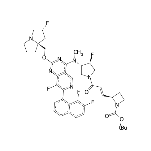 CN(c1nc(OC[C@@]23CCCN2C[C@H](F)C3)nc2c(F)c(-c3cccc4ccc(F)c(F)c34)ncc12)[C@H]1CN(C(=O)/C=C/[C@H]2CCN2C(=O)OC(C)(C)C)C[C@@H]1F